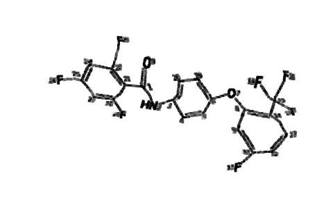 O=C(Nc1ccc(Oc2cc(F)ccc2C(F)(F)F)cc1)c1c(F)cc(F)cc1F